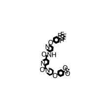 CS(=O)(=O)c1ccc(OC2CCN(C(=O)c3ccc(C(=O)Nc4ccc(Oc5ccc(S(F)(F)(F)(F)F)cc5)nc4)cn3)CC2)cc1